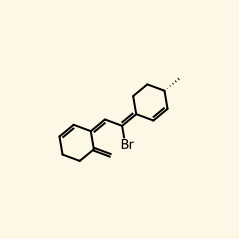 C=C1CCC=C/C1=C/C(Br)=C1/C=C[C@@H](C)CC1